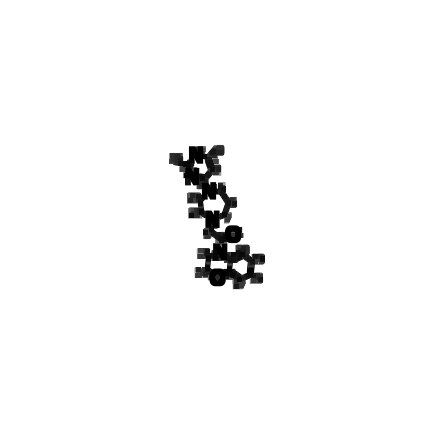 Cc1cc(N2CCCN(CC(=O)N3CCOc4ccccc43)CC2)nc(C)n1